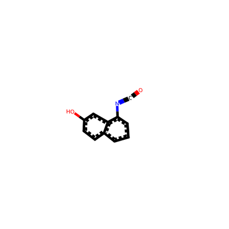 O=C=Nc1cccc2ccc(O)cc12